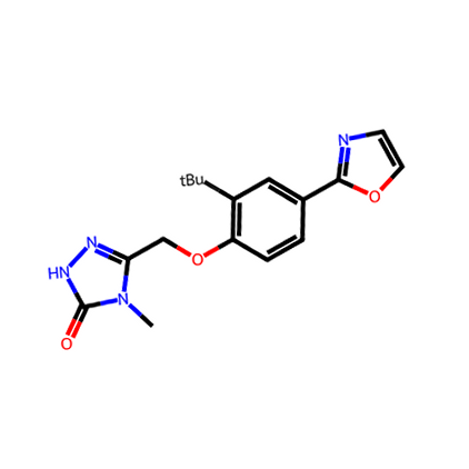 Cn1c(COc2ccc(-c3ncco3)cc2C(C)(C)C)n[nH]c1=O